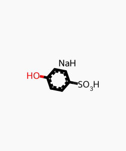 O=S(=O)(O)c1ccc(O)cc1.[NaH]